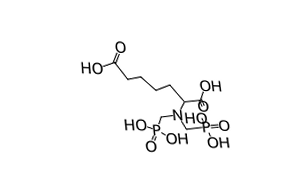 O=C(O)CCCCC(C(=O)O)N(CP(=O)(O)O)CP(=O)(O)O